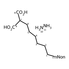 CCCCCCCCCCCCCCCC(C(=O)O)C(=O)O.N.N